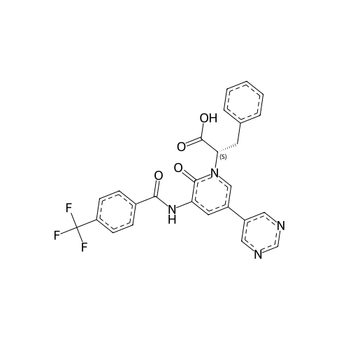 O=C(Nc1cc(-c2cncnc2)cn([C@@H](Cc2ccccc2)C(=O)O)c1=O)c1ccc(C(F)(F)F)cc1